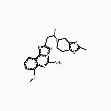 COc1cccc2c1nc(N)n1nc(C[C@H](C)N3CCc4nc(C)sc4C3)nc21